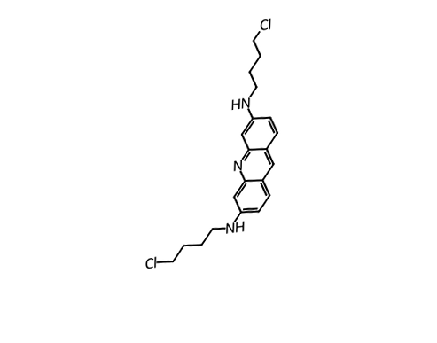 ClCCCCNc1ccc2cc3ccc(NCCCCCl)cc3nc2c1